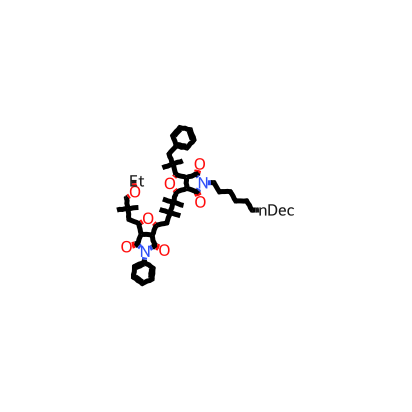 CCCCCCCCCCCCCCCCN1C(=O)C2C(C1=O)C(C(C)(C)C(C)(C)CC1OC(CC(C)(C)COCC)C3C(=O)N(c4ccccc4)C(=O)C13)OC2C(C)(C)Cc1ccccc1